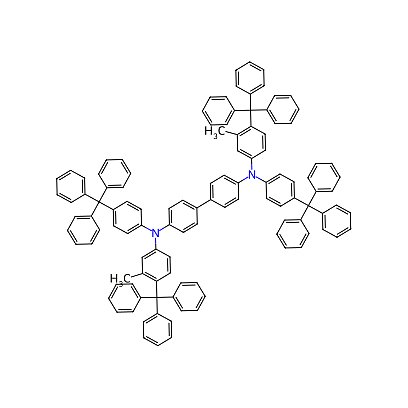 Cc1cc(N(c2ccc(-c3ccc(N(c4ccc(C(c5ccccc5)(c5ccccc5)c5ccccc5)cc4)c4ccc(C(c5ccccc5)(c5ccccc5)c5ccccc5)c(C)c4)cc3)cc2)c2ccc(C(c3ccccc3)(c3ccccc3)c3ccccc3)cc2)ccc1C(c1ccccc1)(c1ccccc1)c1ccccc1